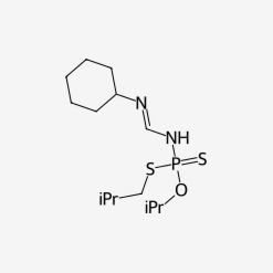 CC(C)CSP(=S)(NC=NC1CCCCC1)OC(C)C